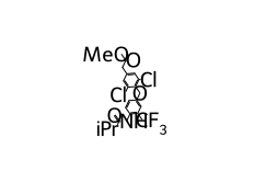 COC(=O)Cc1cc(Cl)c(Oc2ccc(NC(=O)C(C)C)c(C(F)(F)F)c2)c(Cl)c1